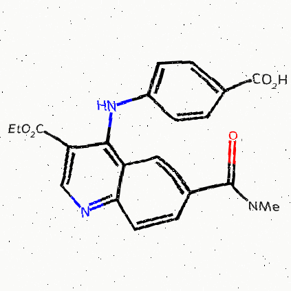 CCOC(=O)c1cnc2ccc(C(=O)NC)cc2c1Nc1ccc(C(=O)O)cc1